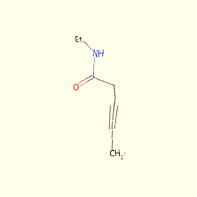 [CH2]C#CCC(=O)NCC